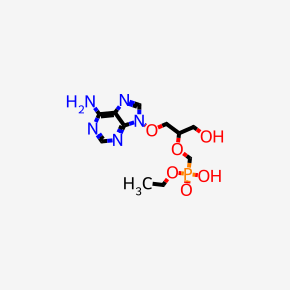 CCOP(=O)(O)COC(CO)COn1cnc2c(N)ncnc21